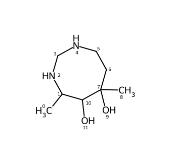 CC1NCNCCC(C)(O)C1O